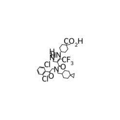 C[C@]1(C(=O)O)CC[C@H](N/C(=C(\C=N)C(=O)N(CC(=O)c2c(Cl)cccc2Cl)CC2CCC3(CC2)CC3)C(F)(F)F)CC1